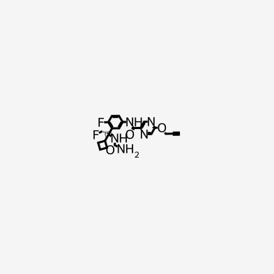 C#CCOc1cnc(C(=O)Nc2ccc(F)c([C@@](CF)(NC(N)=O)C3CCC3)c2)cn1